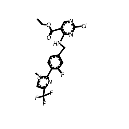 CCOC(=O)c1cnc(Cl)nc1NCc1ccc(-c2nc(C(F)(F)F)cn2C)c(F)c1